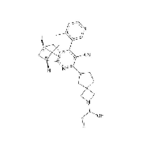 C=CC(O)N1CC2(CCN(c3nc4c(c(-c5cnccc5C)c3C#N)C[C@H]3C[C@@H]4C3(C)C)C2)C1